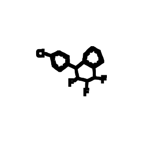 FC1c2ccccc2C(c2ccc(Cl)cc2)C(F)C1F